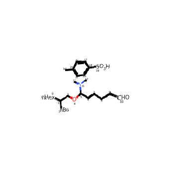 CCCCCCC(CCCC)COC(CCCCC=O)N(C)C.Cc1ccc(S(=O)(=O)O)cc1